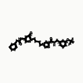 O=C(Cc1ccccc1)Nc1cnn(CCCCn2cc(C(=O)NCc3cccc(OC(F)(F)F)c3)nn2)c(=O)c1